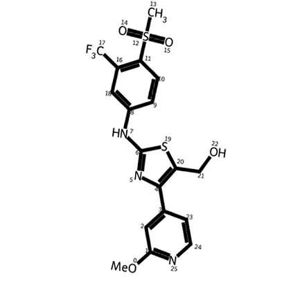 COc1cc(-c2nc(Nc3ccc(S(C)(=O)=O)c(C(F)(F)F)c3)sc2CO)ccn1